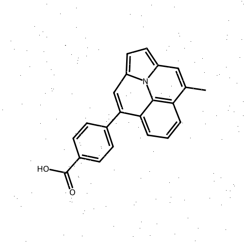 Cc1cc2ccc3cc(-c4ccc(C(=O)O)cc4)c4cccc1c4n23